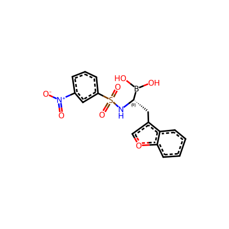 O=[N+]([O-])c1cccc(S(=O)(=O)N[C@@H](Cc2coc3ccccc23)B(O)O)c1